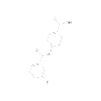 O=C(O)c1ccc(NC(=O)c2cccc(F)c2)cc1